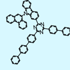 c1ccc(-c2ccc(-c3ccc(-c4nc(-c5ccc(-c6ccccc6)cc5)nc(-c5ccc6c7ccccc7n(-c7cc8ccccc8c8ccccc78)c6c5)n4)cc3)cc2)cc1